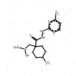 CC1CCC(CN(O)C=O)(C(=O)NNc2nccc(C(F)(F)F)n2)CC1